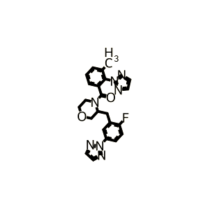 Cc1cccc(C(=O)N2CCOCC2Cc2cc(-n3nccn3)ccc2F)c1-n1nccn1